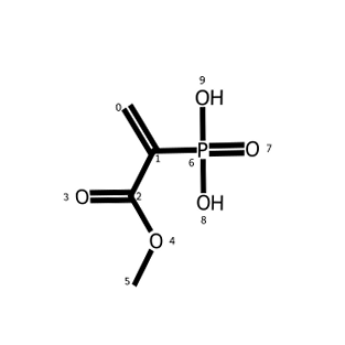 C=C(C(=O)OC)P(=O)(O)O